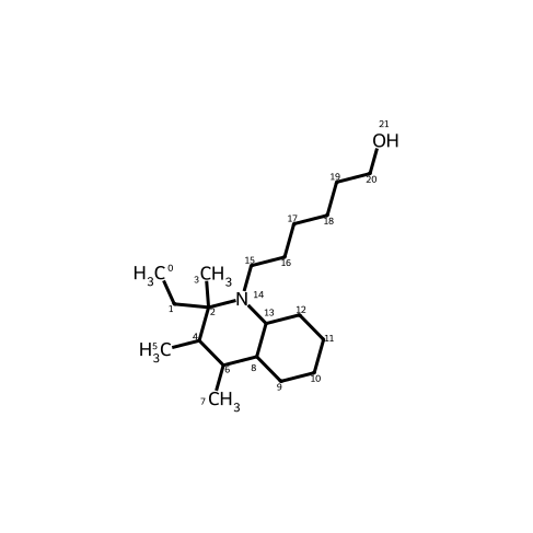 CCC1(C)C(C)C(C)C2CCCCC2N1CCCCCCO